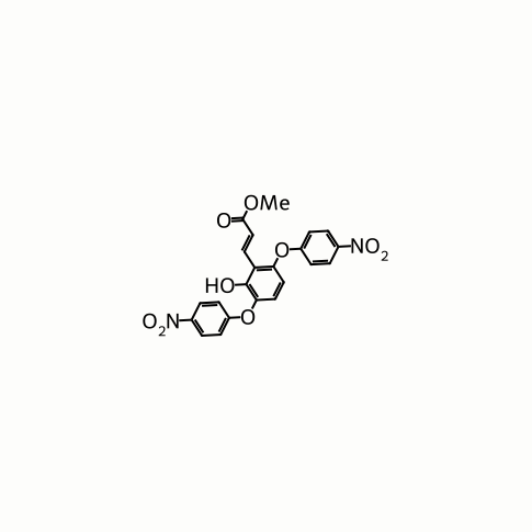 COC(=O)C=Cc1c(Oc2ccc([N+](=O)[O-])cc2)ccc(Oc2ccc([N+](=O)[O-])cc2)c1O